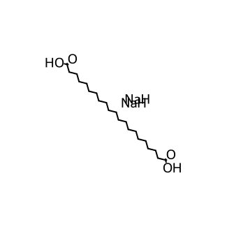 O=C(O)CCCCCCCCCCCCCCCCCCCC(=O)O.[NaH].[NaH]